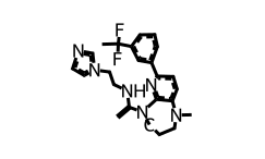 C=C(NCCn1ccnc1)N1CCCN(C)c2ccc(-c3cccc(C(C)(F)F)c3)nc21